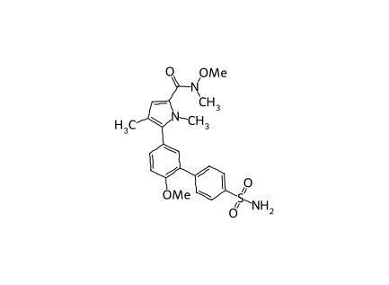 COc1ccc(-c2c(C)cc(C(=O)N(C)OC)n2C)cc1-c1ccc(S(N)(=O)=O)cc1